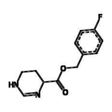 O=C(OCc1ccc(F)cc1)C1CCNC=N1